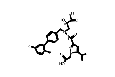 CC(C)c1cc(C(=O)NN(Cc2ccc(-c3cc(Cl)ccc3F)cc2)C[C@@H](O)C(=O)O)nn1CC(=O)O